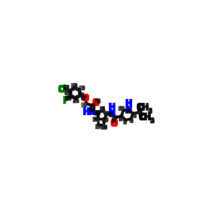 CC(C)C1CCC(C(=O)NC2C[C@H](NC(=O)COc3ccc(Cl)c(F)c3)C3CCC23)CN1